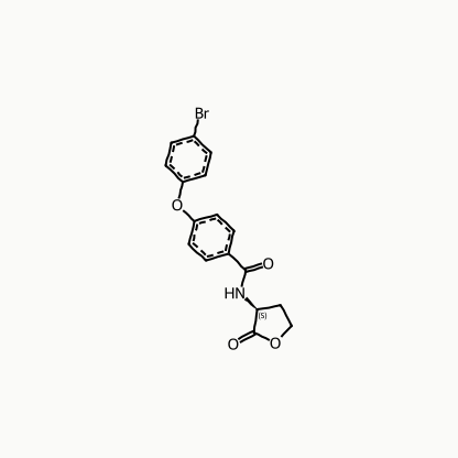 O=C(N[C@H]1CCOC1=O)c1ccc(Oc2ccc(Br)cc2)cc1